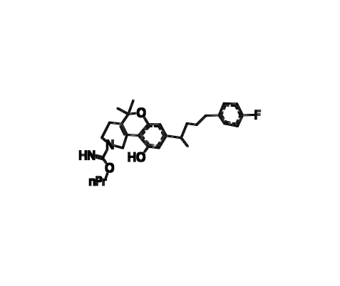 CCCOC(=N)N1CCC2=C(C1)c1c(O)cc(C(C)CCCc3ccc(F)cc3)cc1OC2(C)C